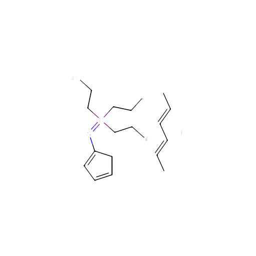 CC(C)CCP(CCC(C)C)(CCC(C)C)=NC1=CC=CC1.CC=CC=CC.[Ti]